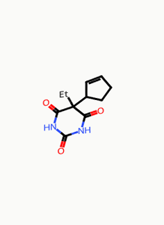 CCC1(C2C=CCC2)C(=O)NC(=O)NC1=O